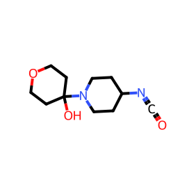 O=C=NC1CCN(C2(O)CCOCC2)CC1